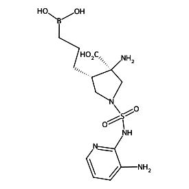 Nc1cccnc1NS(=O)(=O)N1C[C@H](CCCB(O)O)[C@](N)(C(=O)O)C1